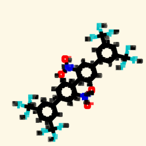 O=[N+]([O-])c1cc(-c2cc(C(F)(F)F)cc(C(F)(F)F)c2)ccc1-c1ccc(-c2cc(C(F)(F)F)cc(C(F)(F)F)c2)cc1[N+](=O)[O-]